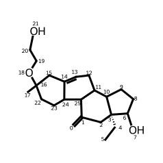 C=C1C[C@]2(CC)C(O)CCC2C2CC=C3CC(C)(OCCO)CCC3C12